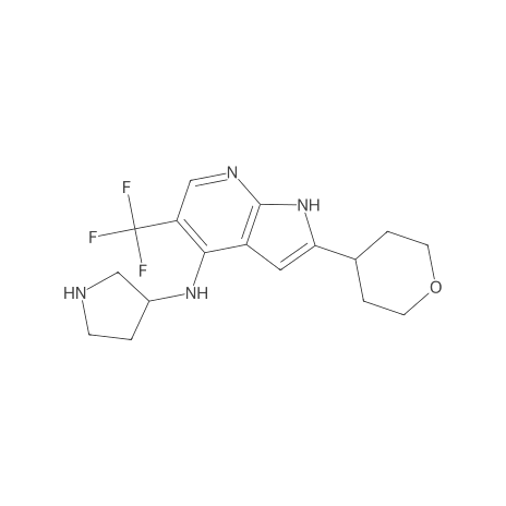 FC(F)(F)c1cnc2[nH]c(C3CCOCC3)cc2c1NC1CCNC1